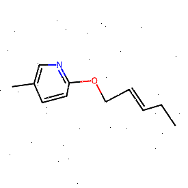 CC/C=C/COc1ccc(C)cn1